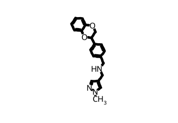 Cn1cc(CNCc2ccc(C3COc4ccccc4O3)cc2)cn1